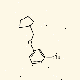 CC(C)(C)c1cccc(OCC2CCCC2)c1